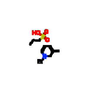 CCCS(=O)(=O)O.CCN1C=CC=C(C)C1